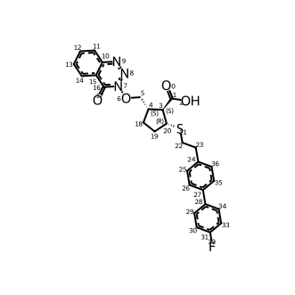 O=C(O)[C@@H]1[C@@H](COn2nnc3ccccc3c2=O)CC[C@H]1SCCc1ccc(-c2ccc(F)cc2)cc1